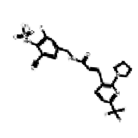 CS(=O)(=O)Nc1c(F)cc(CNC(=O)C=Cc2ccc(C(F)(F)F)nc2N2CCCC2)cc1C#N